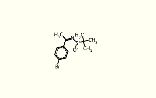 C/C(=N/[S+]([O-])C(C)(C)C)c1ccc(Br)cc1